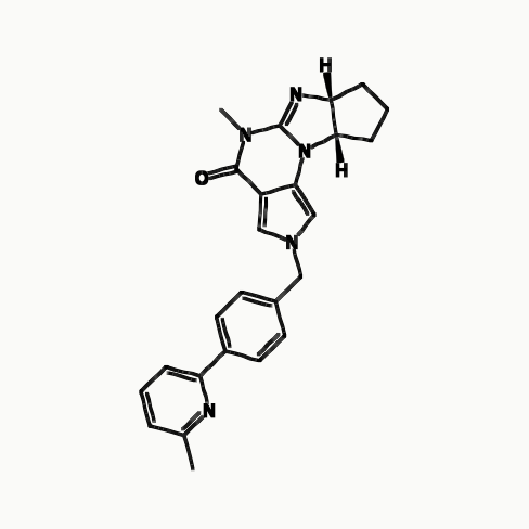 Cc1cccc(-c2ccc(Cn3cc4c(c3)N3C(=N[C@@H]5CCC[C@@H]53)N(C)C4=O)cc2)n1